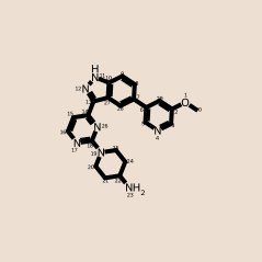 COc1cncc(-c2ccc3[nH]nc(-c4ccnc(N5CCC(N)CC5)n4)c3c2)c1